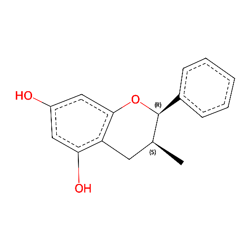 C[C@H]1Cc2c(O)cc(O)cc2O[C@H]1c1ccccc1